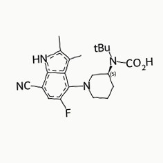 Cc1[nH]c2c(C#N)cc(F)c(N3CCC[C@H](N(C(=O)O)C(C)(C)C)C3)c2c1C